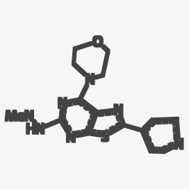 CNNc1nc(N2CCOCC2)c2nc(-c3ccncc3)sc2n1